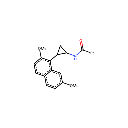 CCC(=O)NC1CC1c1c(OC)ccc2ccc(OC)cc12